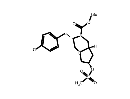 CC(C)(C)OC(=O)N1C[C@@H]2C[C@@H](OS(C)(=O)=O)CN2C[C@@H]1Cc1ccc(Cl)cc1